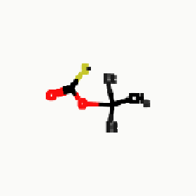 CCC(C)(CC)OC(=O)[S]